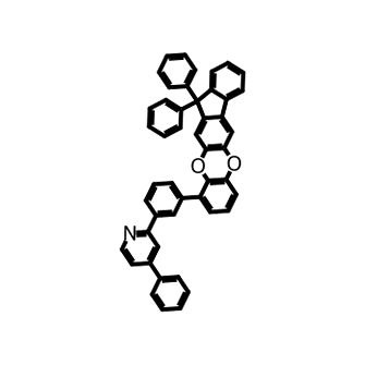 c1ccc(-c2ccnc(-c3cccc(-c4cccc5c4Oc4cc6c(cc4O5)-c4ccccc4C6(c4ccccc4)c4ccccc4)c3)c2)cc1